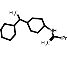 C=C(NC1CCC(C(C)C2CCCCC2)CC1)C(C)C